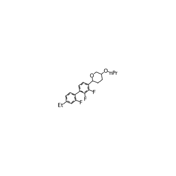 CCCOC1CCC(c2ccc(-c3ccc(CC)cc3F)c(F)c2F)OC1